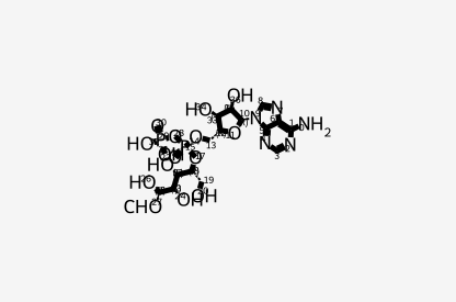 Nc1ncnc2c1ncn2[C@@H]1O[C@H](COP(=O)(O[C@H](CO)[C@@H](O)[C@H](O)[C@@H](O)C=O)OP(=O)(O)O)[C@@H](O)[C@H]1O